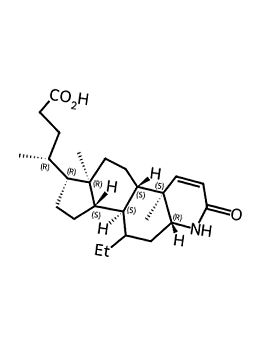 CCC1C[C@H]2NC(=O)C=C[C@]2(C)[C@H]2CC[C@]3(C)[C@@H]([C@H](C)CCC(=O)O)CC[C@H]3[C@H]12